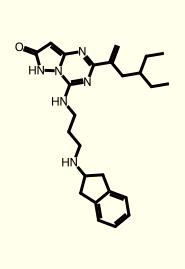 C=C(CC(CC)CC)c1nc(NCCCNC2Cc3ccccc3C2)n2[nH]c(=O)cc2n1